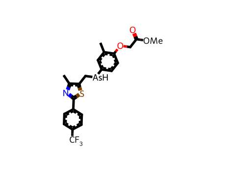 COC(=O)COc1ccc([AsH]Cc2sc(-c3ccc(C(F)(F)F)cc3)nc2C)cc1C